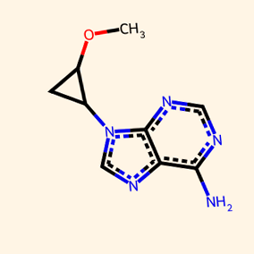 COC1CC1n1cnc2c(N)ncnc21